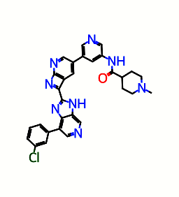 CN1CCC(C(=O)Nc2cncc(-c3cnc4c(c3)C(c3nc5c(-c6cccc(Cl)c6)cncc5[nH]3)=N4)c2)CC1